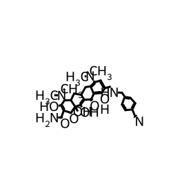 CN(C)c1cc(CNCc2ccc(C#N)cc2)c(O)c2c1CC1CC3C(N(C)C)C(O)=C(C(N)=O)C(=O)C3(O)C(O)=C1C2=O